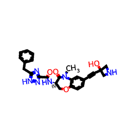 CN1C(=O)[C@@H](NC(=O)c2n[nH]c(Cc3ccccc3)n2)COc2ccc(C#CC3(O)CNC3)cc21